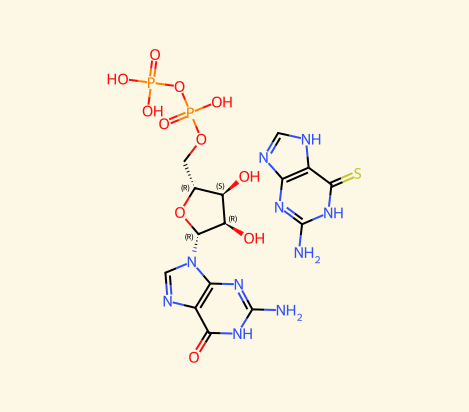 Nc1nc2c(ncn2[C@@H]2O[C@H](COP(=O)(O)OP(=O)(O)O)[C@@H](O)[C@H]2O)c(=O)[nH]1.Nc1nc2nc[nH]c2c(=S)[nH]1